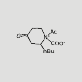 CCCCC1CC(=O)CC[N+]1(C(C)=O)C(=O)[O-]